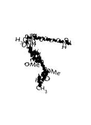 CC=CC1=CN2C(=O)c3cc(OC)c(OCCCOc4cc5c(cc4OC)C(=O)N4C=C(C=CCNC(=O)[C@H](C)NC(=O)[C@@H](NC(=O)CCOCCOCCOCCOCCNC(=O)CI)C(C)C)C[C@H]4C=N5)cc3N=C[C@@H]2C1